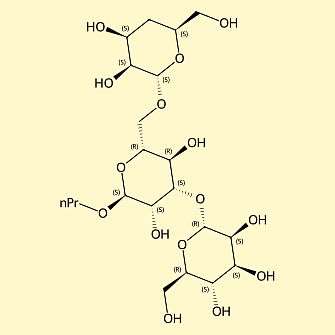 CCCO[C@H]1O[C@H](CO[C@H]2O[C@H](CO)C[C@H](O)[C@@H]2O)[C@@H](O)[C@H](O[C@H]2O[C@H](CO)[C@@H](O)[C@H](O)[C@@H]2O)[C@@H]1O